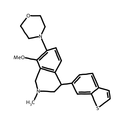 COc1c(N2CCOCC2)ccc2c1CN(C)CC2c1ccc2ccsc2c1